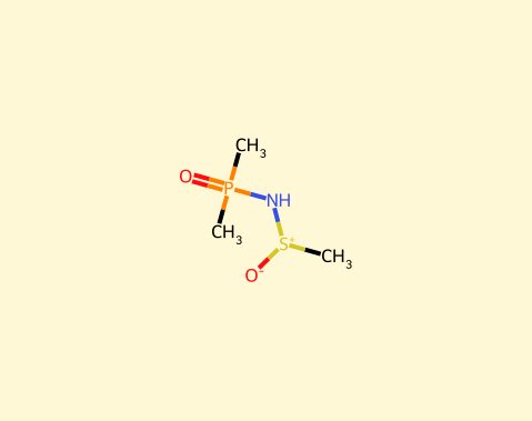 C[S+]([O-])NP(C)(C)=O